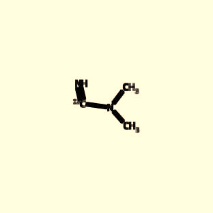 CN(C)[13CH]=N